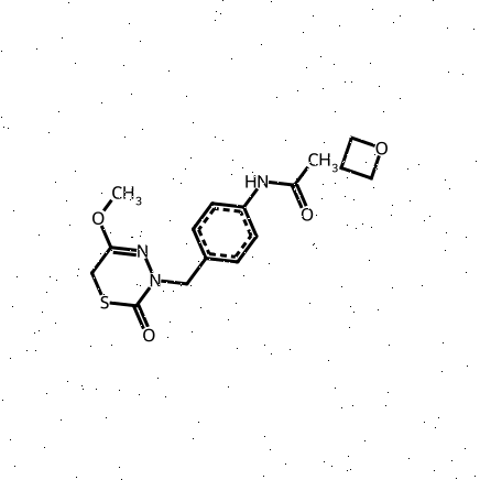 C1COC1.COC1=NN(Cc2ccc(NC(C)=O)cc2)C(=O)SC1